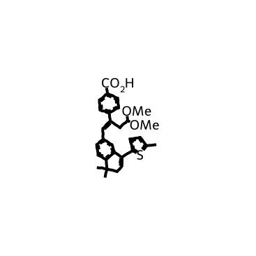 COC(CC(=Cc1ccc2c(c1)C(c1ccc(C)s1)=CCC2(C)C)c1ccc(C(=O)O)cc1)OC